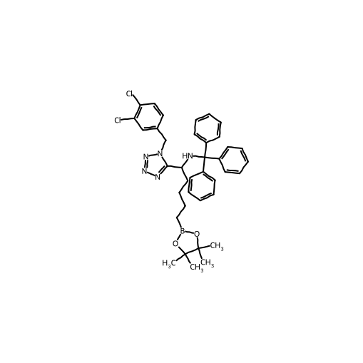 CC1(C)OB(CCCCC(NC(c2ccccc2)(c2ccccc2)c2ccccc2)c2nnnn2Cc2ccc(Cl)c(Cl)c2)OC1(C)C